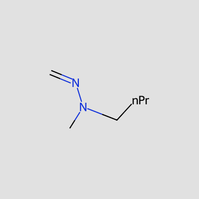 C=NN(C)CCCC